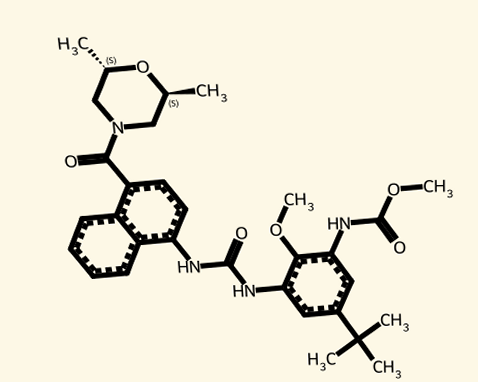 COC(=O)Nc1cc(C(C)(C)C)cc(NC(=O)Nc2ccc(C(=O)N3C[C@H](C)O[C@@H](C)C3)c3ccccc23)c1OC